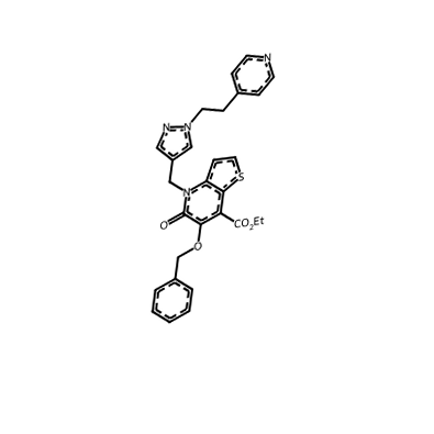 CCOC(=O)c1c(OCc2ccccc2)c(=O)n(Cc2cnn(CCc3ccncc3)c2)c2ccsc12